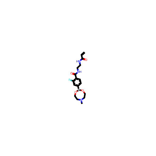 C=CC(=O)NCCNC(=O)c1ccc(B2OCCN(C)CCO2)cc1F